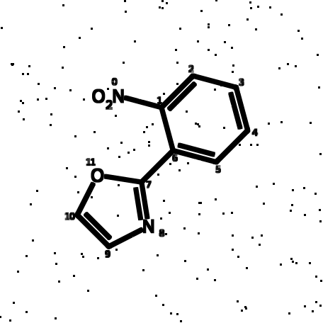 O=[N+]([O-])c1ccccc1-c1ncco1